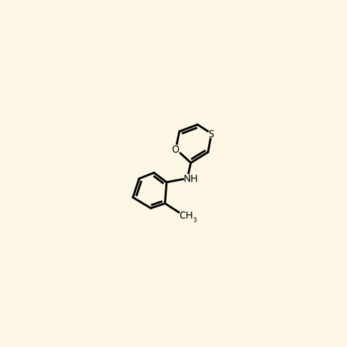 Cc1ccccc1NC1=CSC=CO1